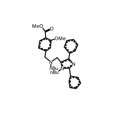 CCCCN(Cc1ccc(C(=O)OC)c(OC)c1)Cc1c(-c2ccccc2)nc(-c2ccccc2)n1CCCC